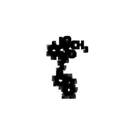 Cc1onc(-c2ccccc2)c1C(=O)NCCCCN1CCCC2(CCc3ccccc32)C1